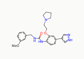 COc1cccc(CNC(=O)Nc2ccc(-c3cn[nH]c3)cc2OCCN2CCCC2)c1